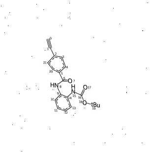 C#Cc1ccc(C(=O)Nc2ccccc2NC(=O)OC(C)(C)C)cc1